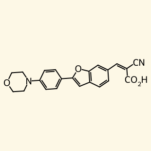 N#CC(=Cc1ccc2cc(-c3ccc(N4CCOCC4)cc3)oc2c1)C(=O)O